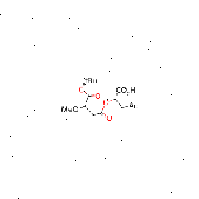 COC(CC(=O)OC(CC(C)=O)C(=O)O)C(=O)OC(C)(C)C